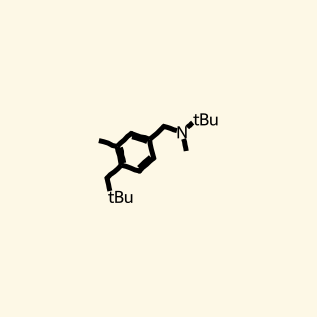 Cc1cc(CN(C)C(C)(C)C)ccc1CC(C)(C)C